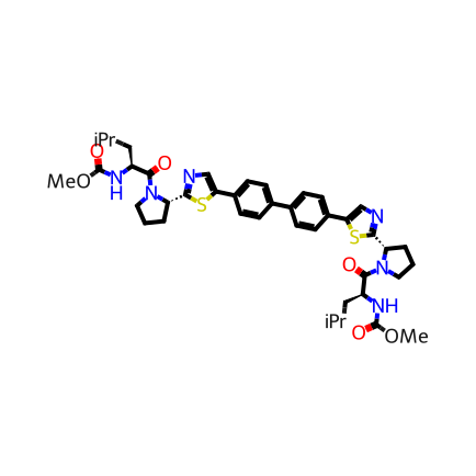 COC(=O)N[C@@H](CC(C)C)C(=O)N1CCC[C@H]1c1ncc(-c2ccc(-c3ccc(-c4cnc([C@@H]5CCCN5C(=O)[C@H](CC(C)C)NC(=O)OC)s4)cc3)cc2)s1